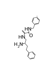 C=C(NC[C@H](N)CCc1ccccc1)C(=O)NCc1cc[c]cc1